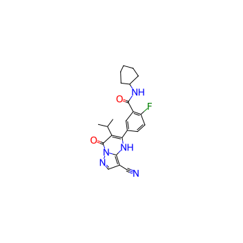 CC(C)c1c(-c2ccc(F)c(C(=O)NC3CCCCC3)c2)[nH]c2c(C#N)cnn2c1=O